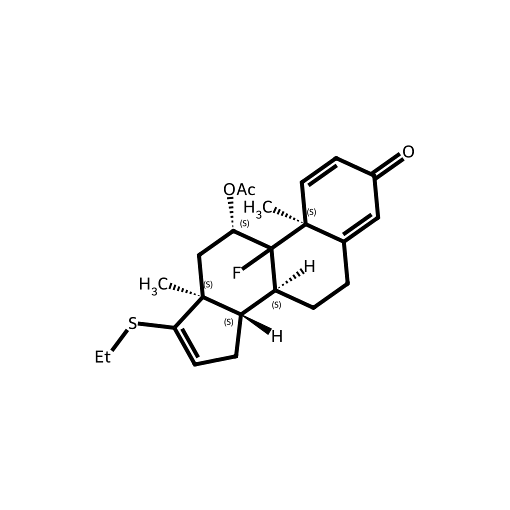 CCSC1=CC[C@H]2[C@@H]3CCC4=CC(=O)C=C[C@]4(C)C3(F)[C@@H](OC(C)=O)C[C@]12C